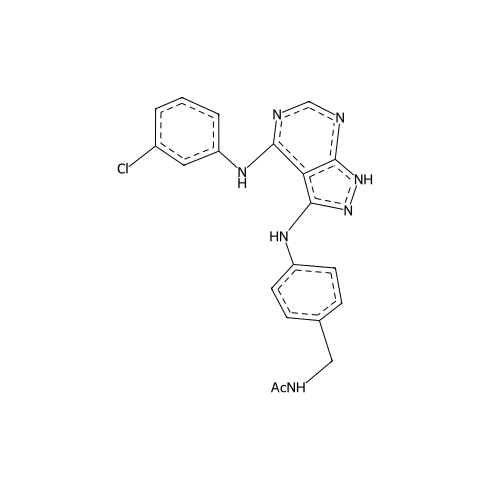 CC(=O)NCc1ccc(Nc2n[nH]c3ncnc(Nc4cccc(Cl)c4)c23)cc1